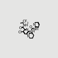 CC(NC(=O)c1nc2c(cc1Cl)N1CCC[C@@H](C1)N2C(=O)Nc1ccccn1)C(F)(F)F